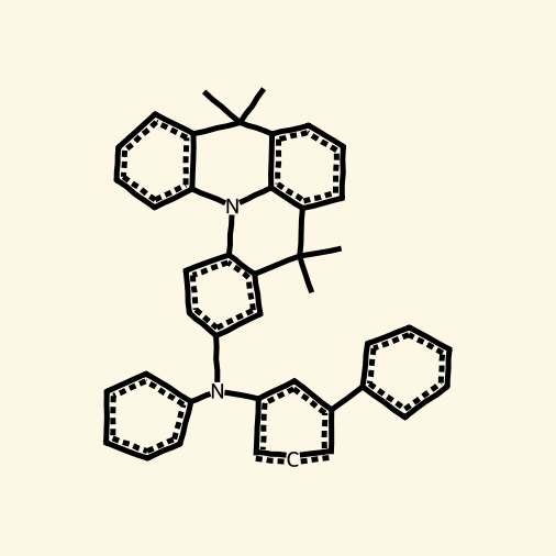 CC1(C)c2ccccc2N2c3ccc(N(c4ccccc4)c4cccc(-c5ccccc5)c4)cc3C(C)(C)c3cccc1c32